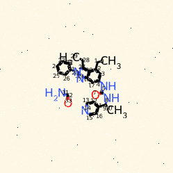 CCc1cc(NC(=O)NC(C)c2ccncc2)cc2nn(-c3ccccc3)c(CC)c12.NC=O